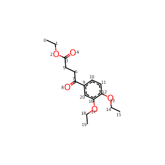 CCOC(=O)CCC(=O)c1ccc(OCC)c(OCC)c1